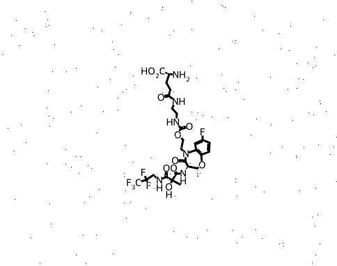 C[C@H]1Oc2ccc(F)cc2N(CCOC(=O)NCCNC(=O)CC[C@H](N)C(=O)O)C(=O)[C@H]1NC(=O)C(C)(O)C(=O)NCC(F)(F)C(F)(F)F